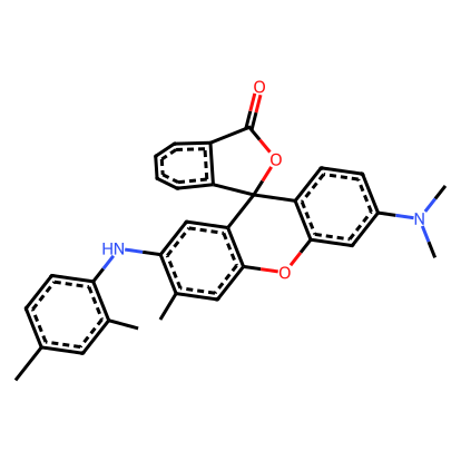 Cc1ccc(Nc2cc3c(cc2C)Oc2cc(N(C)C)ccc2C32OC(=O)c3ccccc32)c(C)c1